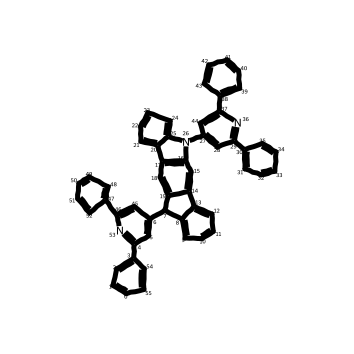 c1ccc(-c2cc(C3c4ccccc4-c4cc5c(cc43)c3ccccc3n5-c3cc(-c4ccccc4)nc(-c4ccccc4)c3)cc(-c3ccccc3)n2)cc1